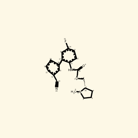 CN1CCC[C@H]1COC(=O)Nc1ccc(F)cc1-c1cccc(C#N)c1